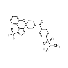 CC(C)S(=O)(=O)c1ccc(C(=O)N2CCC3(CC2)Oc2ccccc2-n2c(C(F)(F)F)ccc23)cc1